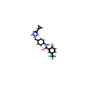 O=C(NC1CCC(Cn2nnc(C3CC3)n2)CC1)c1cc(C(F)(F)F)ccc1Cl